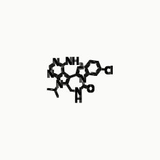 CC(C)n1c2c(c3c(N)ncnc31)-c1cc3ccc(Cl)cc3n1C(=O)NC2